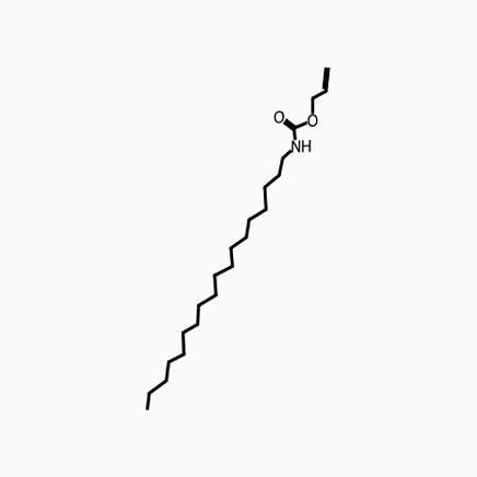 C=CCOC(=O)NCCCCCCCCCCCCCCCCCC